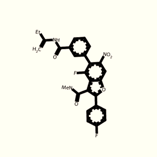 C=C(CC)NC(=O)c1cccc(-c2c([N+](=O)[O-])cc3oc(-c4ccc(F)cc4)c(C(=O)NC)c3c2F)c1